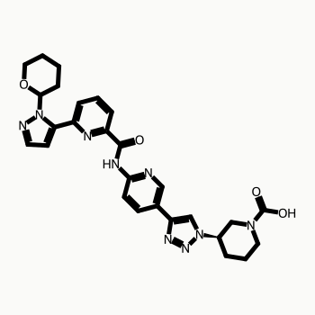 O=C(Nc1ccc(-c2cn([C@@H]3CCCN(C(=O)O)C3)nn2)cn1)c1cccc(-c2ccnn2C2CCCCO2)n1